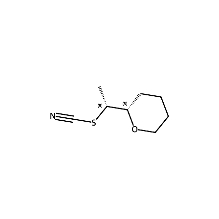 C[C@@H](SC#N)[C@@H]1CCCCO1